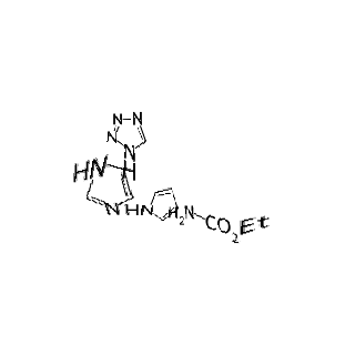 CCOC(N)=O.c1c[nH]cn1.c1cc[nH]c1.c1nnn[nH]1